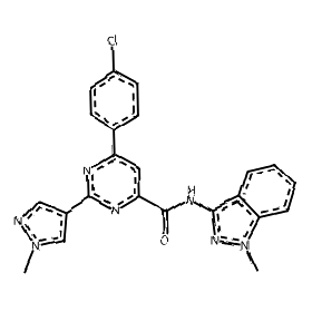 Cn1cc(-c2nc(C(=O)Nc3nn(C)c4ccccc34)cc(-c3ccc(Cl)cc3)n2)cn1